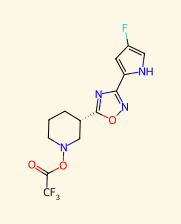 O=C(ON1CCC[C@H](c2nc(-c3cc(F)c[nH]3)no2)C1)C(F)(F)F